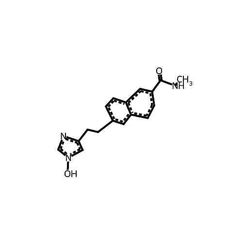 CNC(=O)c1ccc2cc(CCc3cn(O)cn3)ccc2c1